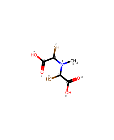 CN(C(S)C(=O)O)C(S)C(=O)O